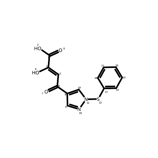 O=C(O)C(O)=CC(=O)c1cnn(Sc2ccccc2)c1